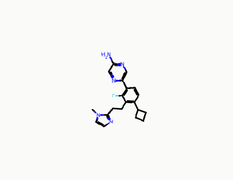 Cn1ccnc1CCc1c(C2CCC2)ccc(-c2cnc(N)cn2)c1F